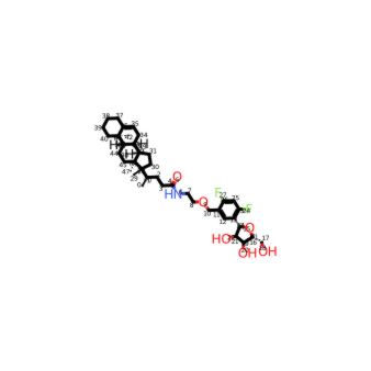 C[C@H](CCC(=O)NCCOCc1cc([C@@H]2O[C@H](CO)C(O)C2O)c(F)cc1F)[C@@]1(C)CC[C@H]2[C@@H]3CC=C4CCCC[C@]4(C)[C@H]3CC[C@@]21C